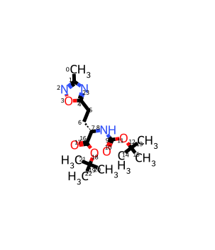 Cc1noc(CC[C@H](NC(=O)OC(C)(C)C)C(=O)OC(C)(C)C)n1